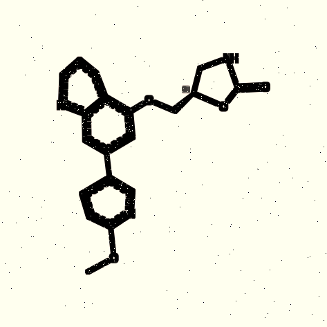 COc1ccc(-c2cc(OC[C@H]3CNC(=O)O3)c3cccnc3c2)cn1